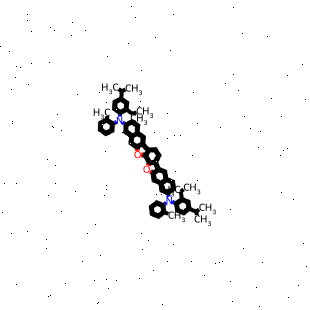 Cc1ccccc1N(c1ccc2cc3c(cc2c1)oc1c3ccc2c3cc4ccc(N(c5ccccc5C)c5ccc(C(C)C)cc5C(C)C)cc4cc3oc21)c1ccc(C(C)C)cc1C(C)C